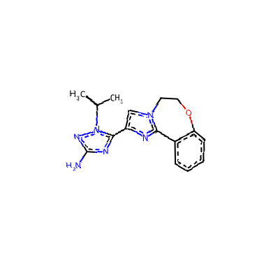 CC(C)n1nc(N)nc1-c1cn2c(n1)-c1ccccc1OCC2